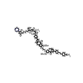 COc1cc2c(cc1OCCCOc1cc3c(cc1OC)C(=O)N1C=C(c4ccc(NC(=O)[C@H](C)NC(=O)C(NC(=O)CCCCCN5C(=O)CC(C6=C/C=C\C=C/C=C\6)C5=O)C(C)C)cc4)C[C@H]1C=N3)N=C[C@@H]1CC(c3ccc(CCC4CCN(C)CC4)cc3)=CN1C2=O